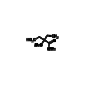 C=CC(CC(=O)O)(OC)C(=O)OC